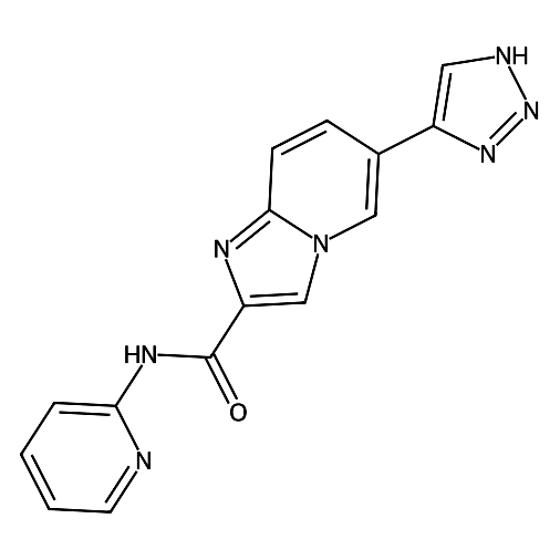 O=C(Nc1ccccn1)c1cn2cc(-c3c[nH]nn3)ccc2n1